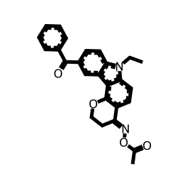 CCn1c2ccc(C(=O)c3ccccc3)cc2c2c3c(ccc21)/C(=N/OC(C)=O)CCO3